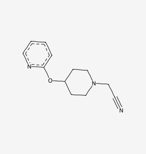 N#CCN1CCC(Oc2ccccn2)CC1